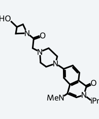 CNc1cn(C(C)C)c(=O)c2ccc(N3CCN(CC(=O)N4CC(O)C4)CC3)cc12